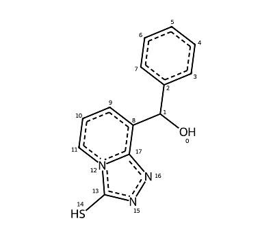 OC(c1ccccc1)c1cccn2c(S)nnc12